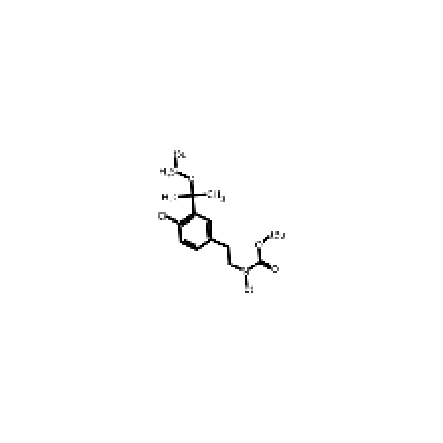 CCN(CCc1ccc(Cl)c(C(C)(C)O[SiH2]C(C)(C)C)c1)C(=O)OC(C)(C)C